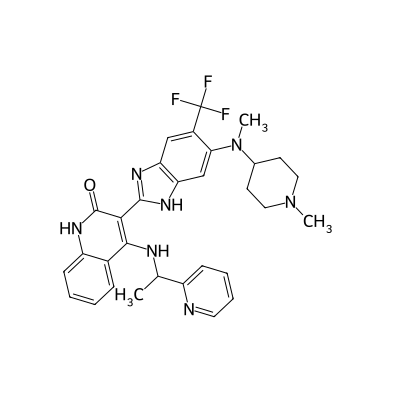 CC(Nc1c(-c2nc3cc(C(F)(F)F)c(N(C)C4CCN(C)CC4)cc3[nH]2)c(=O)[nH]c2ccccc12)c1ccccn1